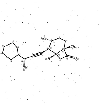 C[C@]12CC[C@@H](O)[C@H](C#C[C@@H](O)C3CCCCC3)[C@H]1CC2=O